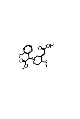 COC(=O)C(c1ccccc1F)N1CC[C@H](SC)/C(=C/C(=O)O)C1